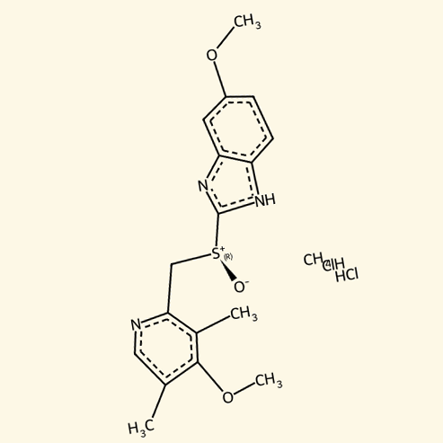 C.COc1ccc2[nH]c([S@@+]([O-])Cc3ncc(C)c(OC)c3C)nc2c1.Cl.Cl